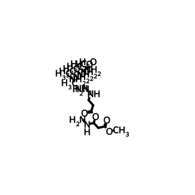 CN.CN.CN.CN.CN.CN.COC(=O)CC(NN)OC(=O)CCNN.O.O